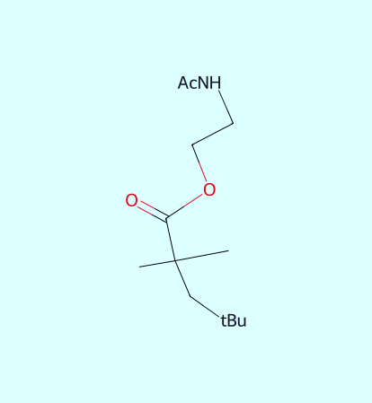 CC(=O)NCCOC(=O)C(C)(C)CC(C)(C)C